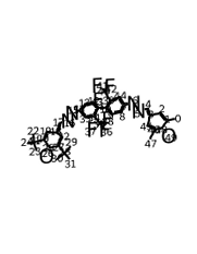 CC1=CC(=C/N=N/c2ccc(-c3ccc(/N=N/C=C4C=C(C(C)(C)C)C(=O)C(C(C)(C)C)=C4)cc3C(F)(F)F)c(C(F)(F)F)c2)C=C(C)C1=O